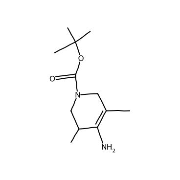 CC1=C(N)C(C)CN(C(=O)OC(C)(C)C)C1